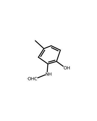 Cc1ccc(O)c(N[C]=O)c1